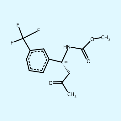 COC(=O)N[C@H](CC(C)=O)c1cccc(C(F)(F)F)c1